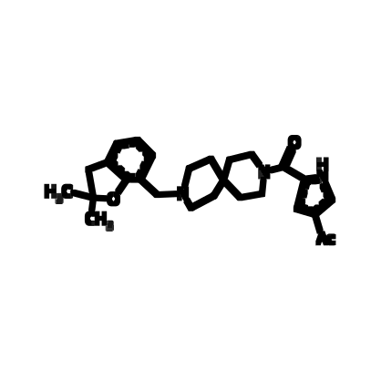 CC(=O)c1c[nH]c(C(=O)N2CCC3(CCN(Cc4cccc5c4OC(C)(C)C5)CC3)CC2)c1